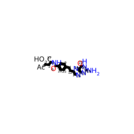 CC(=O)CC[C@H](NC(=O)c1ccc(CCc2cnc3nc(N)[nH]c(=O)c3n2)cc1)C(=O)O